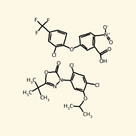 CC(C)Oc1cc(-n2nc(C(C)(C)C)oc2=O)c(Cl)cc1Cl.O=C(O)c1cc(Oc2ccc(C(F)(F)F)cc2Cl)ccc1[N+](=O)[O-]